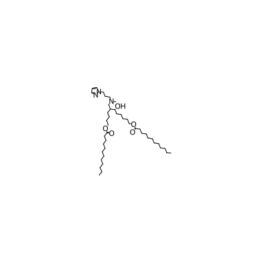 CCCCCCCCCCCC(=O)OCCCCCC(O)C(CCCCOC(=O)CCCCCCCCCCC)CN(C)CCCn1cccn1